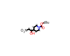 CC(C)(C)OC(=O)N1CCC(C(O)C[N+](=O)[O-])CC1